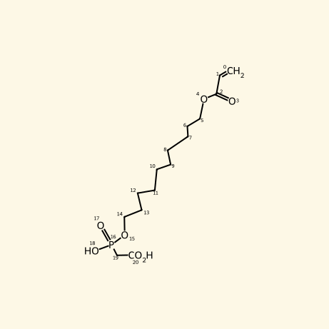 C=CC(=O)OCCCCCCCCCCOP(=O)(O)CC(=O)O